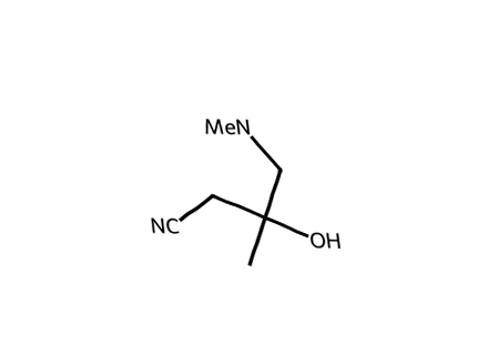 CNCC(C)(O)CC#N